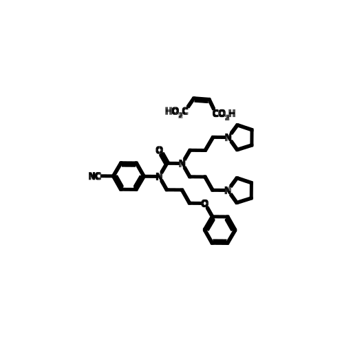 N#Cc1ccc(N(CCCOc2ccccc2)C(=O)N(CCCN2CCCC2)CCCN2CCCC2)cc1.O=C(O)/C=C\C(=O)O